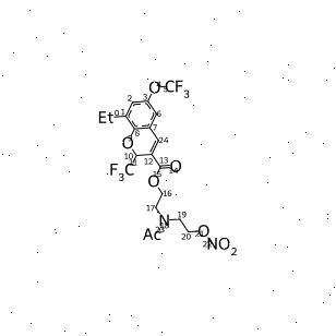 CCc1cc(OC(F)(F)F)cc2c1OC(C(F)(F)F)C(C(=O)OCCN(CCO[N+](=O)[O-])C(C)=O)=C2